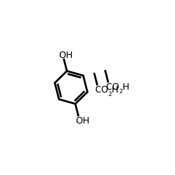 CC(=O)O.CC(=O)O.Oc1ccc(O)cc1